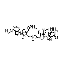 Nc1nc2c(ncn2[C@@H]2O[C@H](COPCC[C@H]3[C@H](F)[C@H](n4ccc5c(N)ncnc54)O[C@@H]3COP)[C@H](F)[C@H]2OO)c(=O)[nH]1